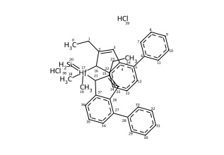 CCC1=Cc2c(-c3ccccc3)cccc2[CH]1[Hf]([CH3])([CH3])(=[SiH2])[CH]1C(CC)=Cc2c(-c3ccccc3)cccc21.Cl.Cl